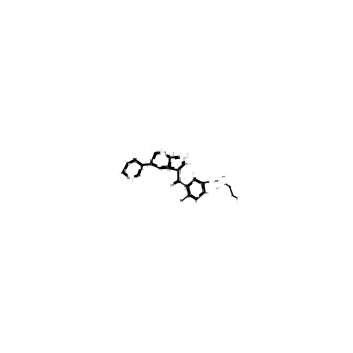 CCCS(=O)(=O)Nc1ccc(Cl)c(C(=O)c2c[nH]c3ncc(-c4cccnc4)cc23)c1F